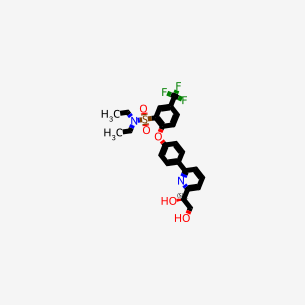 CCN(CC)S(=O)(=O)c1cc(C(F)(F)F)ccc1Oc1ccc(-c2cccc([C@H](O)CO)n2)cc1